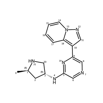 C[C@@H]1C[C@@H](Nc2cncc(-c3cnn4ccccc34)n2)CN1